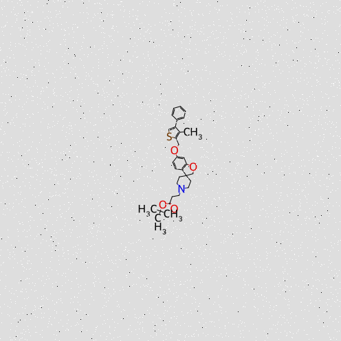 Cc1c(-c2ccccc2)csc1COc1ccc2c(c1)OCC21CCN(CCC(=O)OC(C)(C)C)CC1